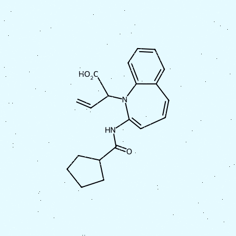 C=CC(C(=O)O)N1C(NC(=O)C2CCCC2)=CC=Cc2ccccc21